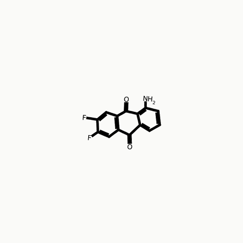 Nc1cccc2c1C(=O)c1cc(F)c(F)cc1C2=O